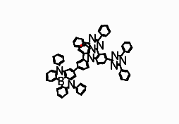 c1ccc(-c2nc(-c3ccccc3)nc(-c3ccc(-n4c5ccccc5c5cc(-c6cc7c8c(c6)N(c6ccccc6)c6ccccc6B8c6ccccc6N7c6ccccc6)ccc54)c(-c4nc(-c5ccccc5)nc(-c5ccccc5)n4)c3)n2)cc1